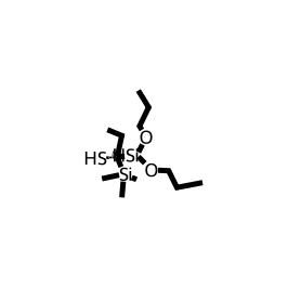 CCCO[SiH](OCCC)[C@](S)(CC)[Si](C)(C)C